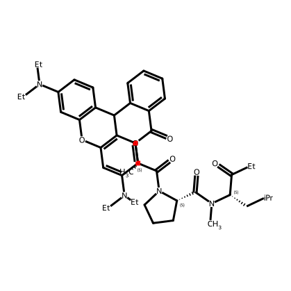 CCC(=O)[C@H](CC(C)C)N(C)C(=O)[C@@H]1CCCN1C(=O)[C@H](C)OC(=O)c1ccccc1C1c2ccc(N(CC)CC)cc2Oc2cc(N(CC)CC)ccc21